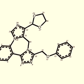 Clc1ccc2c(c1)-c1nnc(COc3ccccc3)n1Cc1c(C3OCCO3)ncn1-2